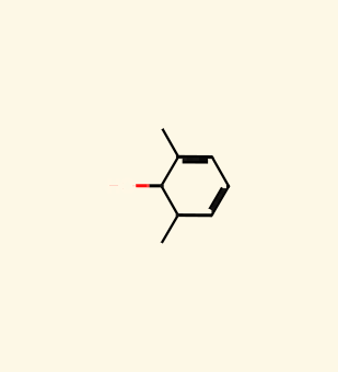 CC1=CC=CC(C)C1O